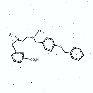 CN(CCN(C)Cc1cccc(C(=O)O)c1)Cc1ccc(OCc2ccccc2)cc1